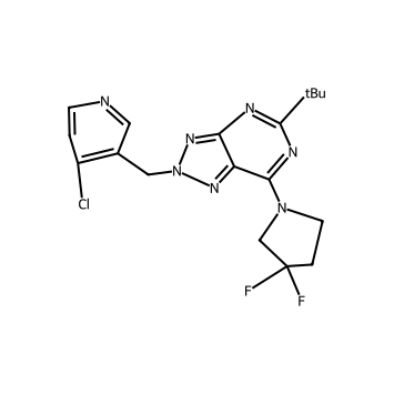 CC(C)(C)c1nc(N2CCC(F)(F)C2)c2nn(Cc3cnccc3Cl)nc2n1